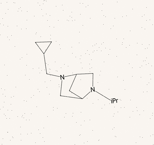 CC(C)N1CC2CC1CN2CC1CC1